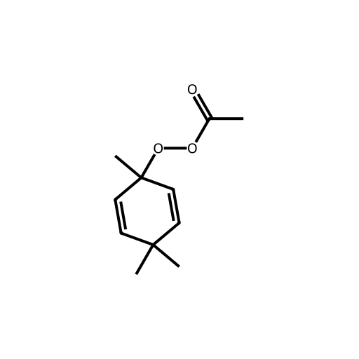 CC(=O)OOC1(C)C=CC(C)(C)C=C1